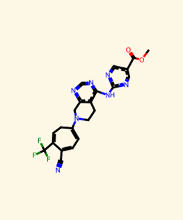 COC(=O)c1cnc(Nc2ncnc3c2CCN(C2=CC=C(C#N)C(C(F)(F)F)=CC2)C3)nc1